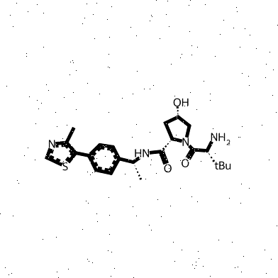 Cc1ncsc1-c1ccc([C@@H](C)NC(=O)[C@@H]2C[C@H](O)CN2C(=O)[C@H](N)C(C)(C)C)cc1